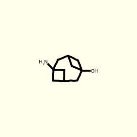 NC12CC(C1)CC1(O)CC(C2)C1